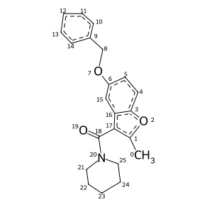 Cc1oc2ccc(OCc3ccccc3)cc2c1C(=O)N1CCCCC1